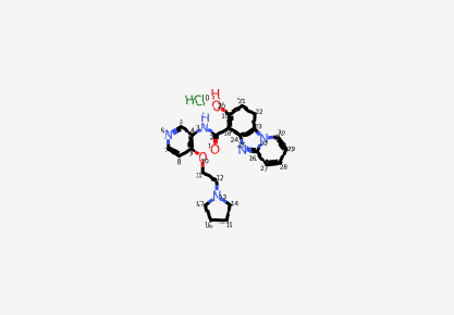 Cl.O=C(Nc1cnccc1OCCN1CCCC1)C1=C(O)CCc2c1nc1ccccn21